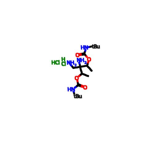 CC(OC(=O)NC(C)(C)C)C(N)(CN)C(C)OC(=O)NC(C)(C)C.Cl.Cl